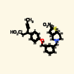 CC#CC(CC(=O)O)c1ccc(OCc2cccc(CN3CCc4sc([N+](=O)[O-])cc4C3)c2)cc1